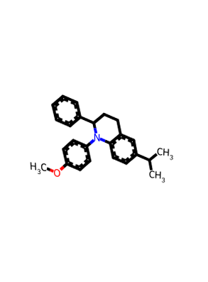 COc1ccc(N2c3ccc(C(C)C)cc3CCC2c2ccccc2)cc1